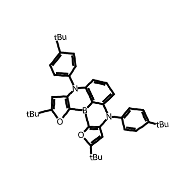 CC(C)(C)c1ccc(N2c3cc(C(C)(C)C)oc3B3c4oc(C(C)(C)C)cc4N(c4ccc(C(C)(C)C)cc4)c4cccc2c43)cc1